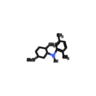 COC1CCC(C(=O)O)C(N(C(C)=O)c2cc(C)ccc2C)C1